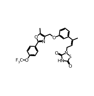 C/C(=C/Cn1sc(=O)[nH]c1=O)c1cccc(OCc2nc(-c3ccc(OC(F)(F)F)cc3)oc2C)c1